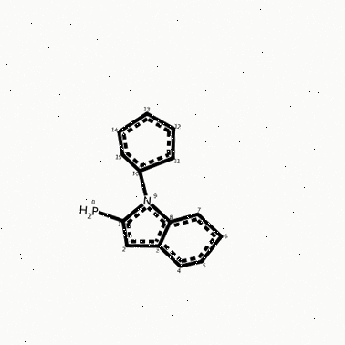 Pc1cc2ccccc2n1-c1ccccc1